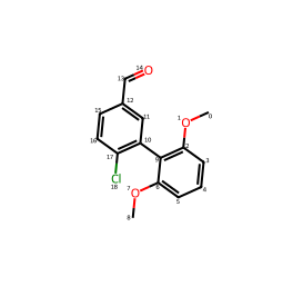 COc1cccc(OC)c1-c1cc(C=O)ccc1Cl